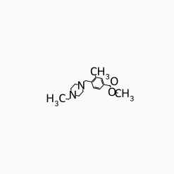 CCN1CCN(Cc2ccc(C(=O)OC)cc2C)CC1